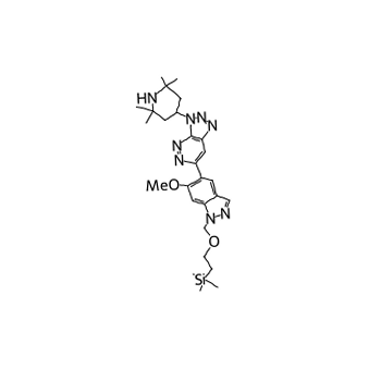 COc1cc2c(cnn2COCC[Si](C)(C)C)cc1-c1cc2nnn(C3CC(C)(C)NC(C)(C)C3)c2nn1